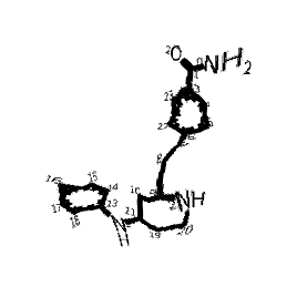 NC(=O)c1ccc(CCC2CC(Nc3ccccc3)CCN2)cc1